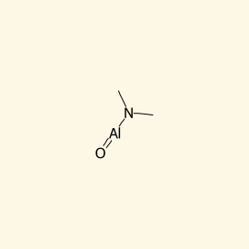 C[N](C)[Al]=[O]